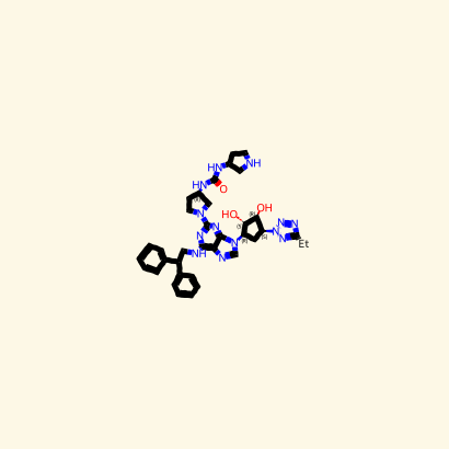 CCc1nnn([C@H]2C[C@@H](n3cnc4c(NCC(c5ccccc5)c5ccccc5)nc(N5CC[C@@H](NC(=O)NC6CCNC6)C5)nc43)[C@H](O)[C@@H]2O)n1